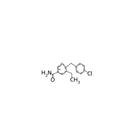 CCc1cc(C(N)=O)ccc1Cc1ccc(Cl)cc1